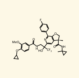 COc1cc(C(=O)NCC(O)(c2cc3c(c(-c4ccc(F)cc4)n2)OC[C@]3(C)C(=O)NC2(C)CC2)C(F)(F)F)ccc1OC1CC1